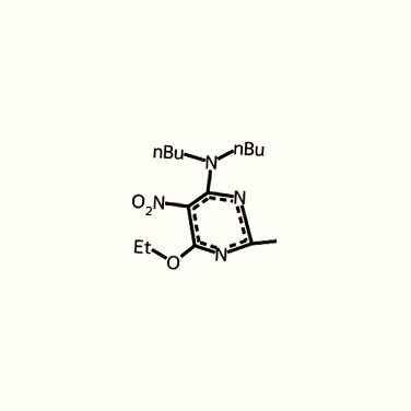 CCCCN(CCCC)c1nc(C)nc(OCC)c1[N+](=O)[O-]